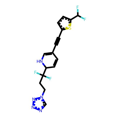 FC(F)c1ccc(C#CC2=CNC(C(F)(F)CCn3cnnn3)C=C2)s1